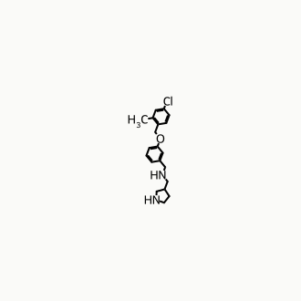 Cc1cc(Cl)ccc1COc1cccc(CNCC2CCNC2)c1